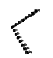 [Nb+5].[Nb+5].[O-2].[O-2].[O-2].[O-2].[O-2].[O-2].[O-2].[O-2].[O-2].[Pb+2].[Pb+2].[Zn+2].[Zn+2]